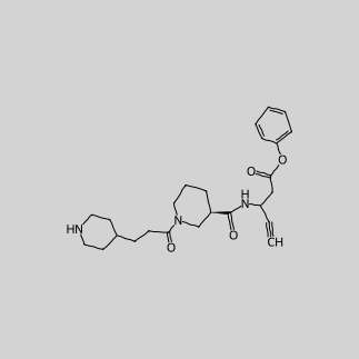 C#CC(CC(=O)Oc1ccccc1)NC(=O)[C@@H]1CCCN(C(=O)CCC2CCNCC2)C1